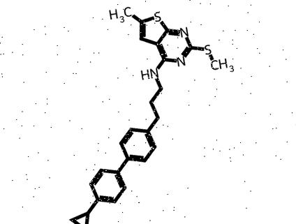 CSc1nc(NCCCc2ccc(-c3ccc(C4CC4)cc3)cc2)c2cc(C)sc2n1